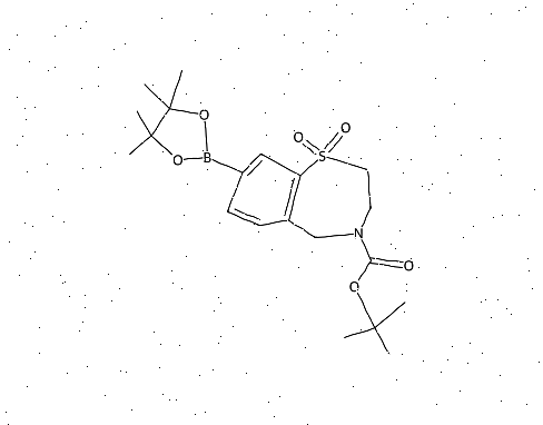 CC(C)(C)OC(=O)N1CCS(=O)(=O)c2cc(B3OC(C)(C)C(C)(C)O3)ccc2C1